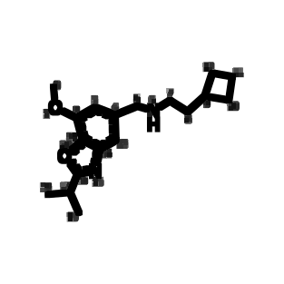 COc1cc(CNCCC2CCC2)cc2nc(C(C)C)oc12